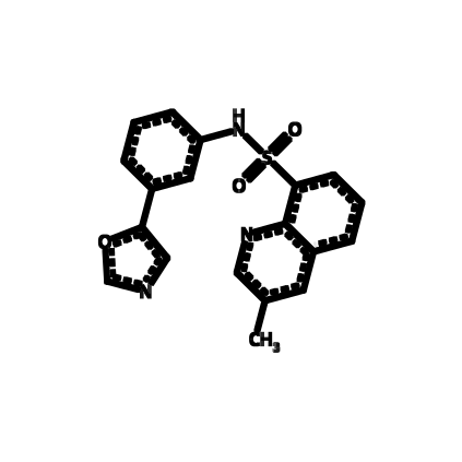 Cc1cnc2c(S(=O)(=O)Nc3cccc(-c4cnco4)c3)cccc2c1